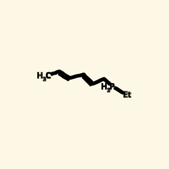 CC=CC=CC[PH3]CC